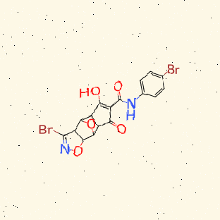 O=C(Nc1ccc(Br)cc1)C1=C(O)C2C3OC(C4ON=C(Br)C43)C2C1=O